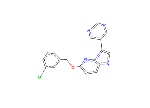 Clc1cccc(COc2ccc3ncc(-c4cncnc4)n3n2)c1